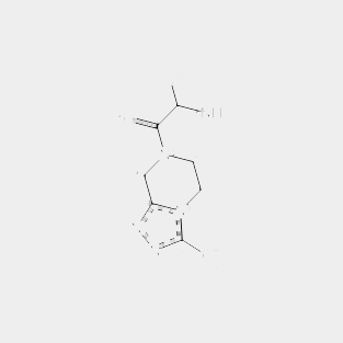 CC(C)(C)C([NH])C(=O)N1CCn2c(nnc2C(F)(F)F)C1